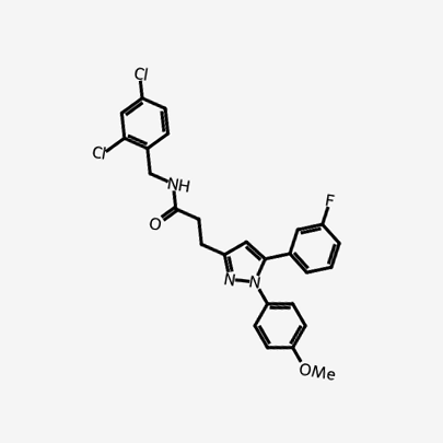 COc1ccc(-n2nc(CCC(=O)NCc3ccc(Cl)cc3Cl)cc2-c2cccc(F)c2)cc1